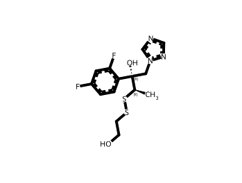 C[C@@H](SSCCO)[C@](O)(Cn1cncn1)c1ccc(F)cc1F